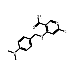 CN(C)c1ccc(CNc2cc(Cl)ncc2C(N)=O)cc1